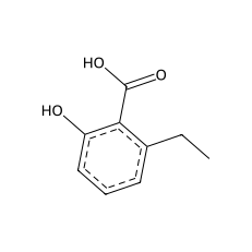 CCc1cccc(O)c1C(=O)O